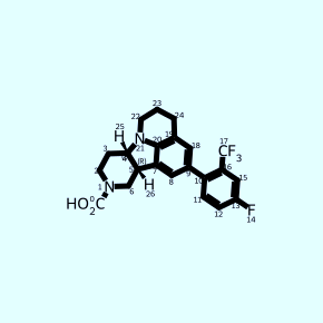 O=C(O)N1CC[C@H]2[C@@H](C1)c1cc(-c3ccc(F)cc3C(F)(F)F)cc3c1N2CCC3